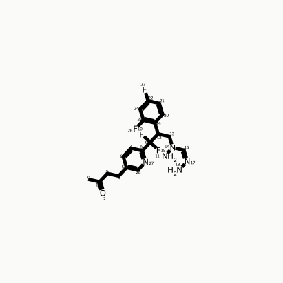 CC(=O)CCc1ccc(C(F)(F)C(CN(N)/C=N\N)c2ccc(F)cc2F)nc1